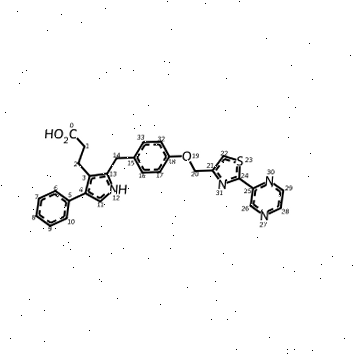 O=C(O)CCc1c(-c2ccccc2)c[nH]c1Cc1ccc(OCc2csc(-c3cnccn3)n2)cc1